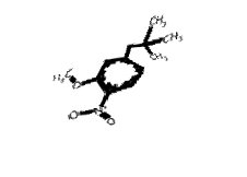 COc1cc(CC(C)(C)C)ccc1[N+](=O)[O-]